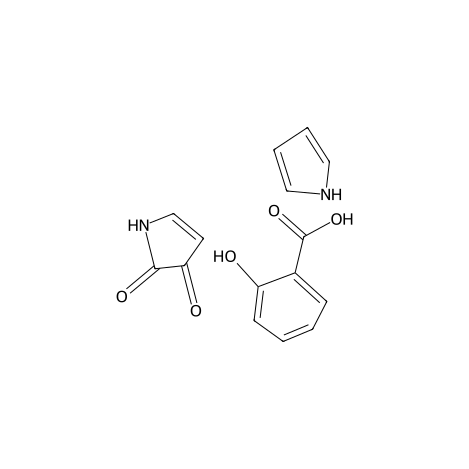 O=C(O)c1ccccc1O.O=C1C=CNC1=O.c1cc[nH]c1